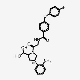 Cc1ccccc1[C@H]1CC(C(O)O)N(C(=O)CNC(=O)c2ccc(Oc3ccc(F)cc3)cc2)C1